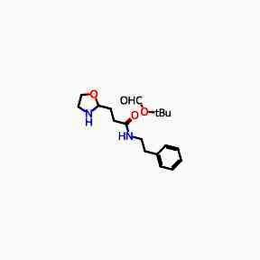 CC(C)(C)OC=O.O=C(CCC1NCCO1)NCCc1ccccc1